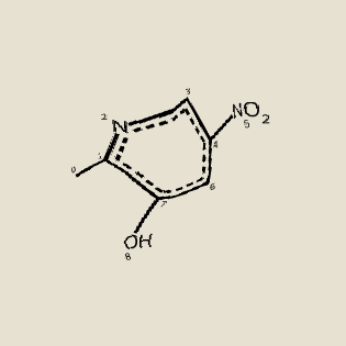 Cc1ncc([N+](=O)[O-])cc1O